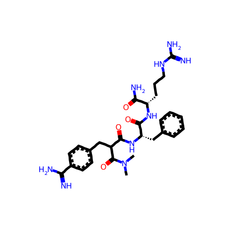 CN(C)C(=O)C(Cc1ccc(C(=N)N)cc1)C(=O)N[C@@H](Cc1ccccc1)C(=O)N[C@@H](CCCNC(=N)N)C(N)=O